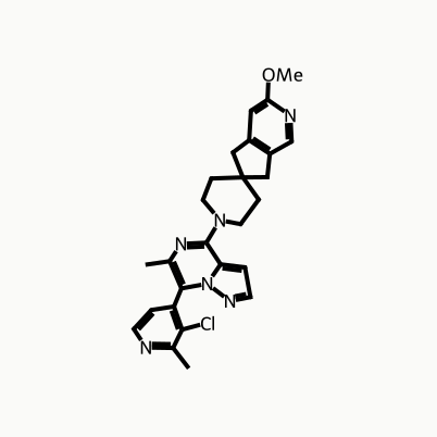 COc1cc2c(cn1)CC1(CCN(c3nc(C)c(-c4ccnc(C)c4Cl)n4nccc34)CC1)C2